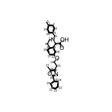 Cc1ccc(CN2CCc3ccc(OCCc4nc(-c5ccccc5)oc4C)cc3C2C(=O)O)cc1